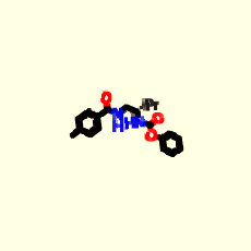 Cc1ccc(C(=O)NC[C@@H](NC(=O)Oc2ccccc2)C(C)C)cc1